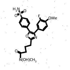 COc1ccc(-c2nc(CCCC(=O)N(C)O)oc2-c2ccc(S(N)(=O)=O)cc2)cc1F